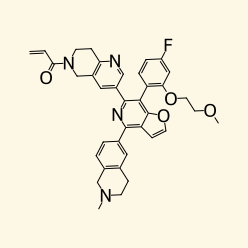 C=CC(=O)N1CCc2ncc(-c3nc(-c4ccc5c(c4)CCN(C)C5)c4ccoc4c3-c3ccc(F)cc3OCCOC)cc2C1